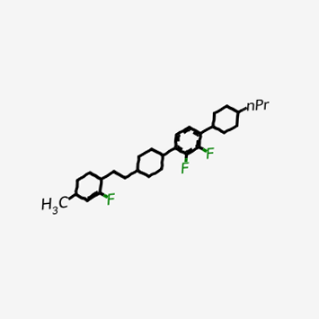 CCCC1CCC(c2ccc(C3CCC(CCC4CCC(C)C=C4F)CC3)c(F)c2F)CC1